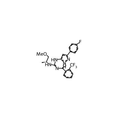 COC[C@H](C)N/C(=N/C(=O)c1ccccc1C(F)(F)F)Nc1cc(-c2ccc(F)cc2)n[nH]1